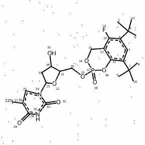 CC(C)(C)c1cc(C(C)(C)C)c2c(c1F)COP(=O)(OCC1OC(n3cc([125I])c(=O)[nH]c3=O)CC1O)O2